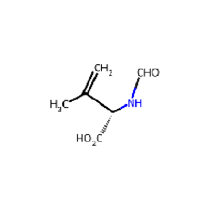 C=C(C)[C@H](NC=O)C(=O)O